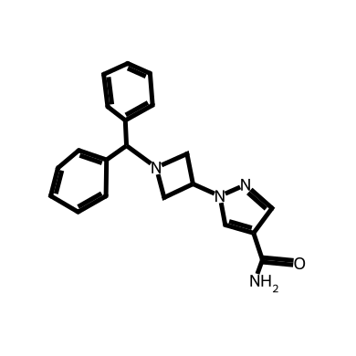 NC(=O)c1cnn(C2CN(C(c3ccccc3)c3ccccc3)C2)c1